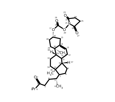 CC(C)C(=O)CC[C@@H](C)C1CC[C@H]2C3CC=C4C[C@@H](OC(=O)ON5C(=O)CCC5=O)CC[C@]4(C)[C@H]3CC[C@]12C